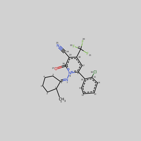 CC1CCCCC1=Nn1c(-c2ccccc2Cl)cc(C(F)(F)F)c(C#N)c1=O